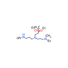 CCCNCCCN(CCCN(C)CC)CC[Si](C)(OCC)OCC